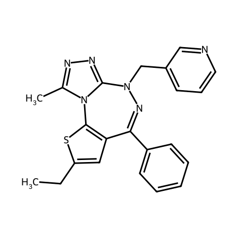 CCc1cc2c(s1)-n1c(C)nnc1N(Cc1cccnc1)N=C2c1ccccc1